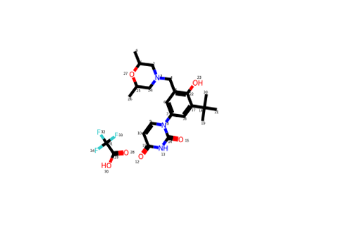 CC1CN(Cc2cc(-n3ccc(=O)[nH]c3=O)cc(C(C)(C)C)c2O)CC(C)O1.O=C(O)C(F)(F)F